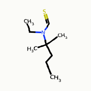 CCCC(C)(C)N(C=S)CC